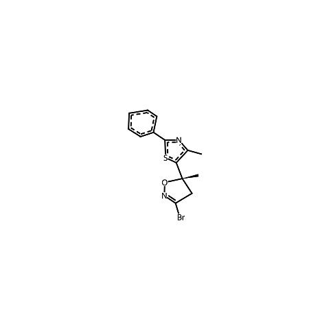 Cc1nc(-c2ccccc2)sc1[C@]1(C)CC(Br)=NO1